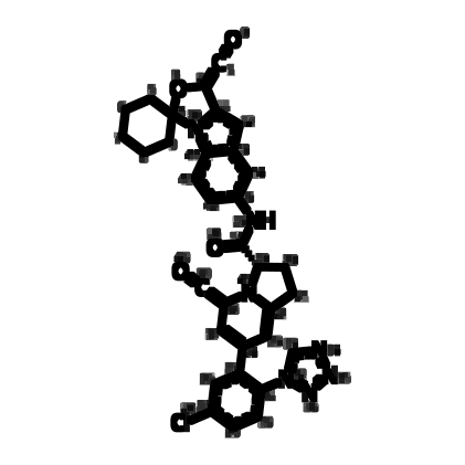 O=C=C1OC2(CCCCC2)n2c1cc1cc(NC(=O)[C@@H]3CCC4=CC(c5cc(Cl)ccc5-n5cnnn5)=CC(=C=O)N43)ccc12